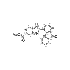 COC(=O)c1ccc2[nH]c(-c3cccc4c3-c3ccccc3C4=O)nc2c1